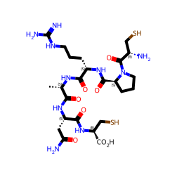 C[C@H](NC(=O)[C@H](CCCNC(=N)N)NC(=O)[C@@H]1CCCN1C(=O)[C@@H](N)CS)C(=O)N[C@@H](CC(N)=O)C(=O)N[C@@H](CS)C(=O)O